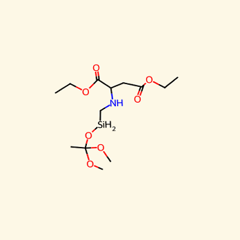 CCOC(=O)CC(NC[SiH2]OC(C)(OC)OC)C(=O)OCC